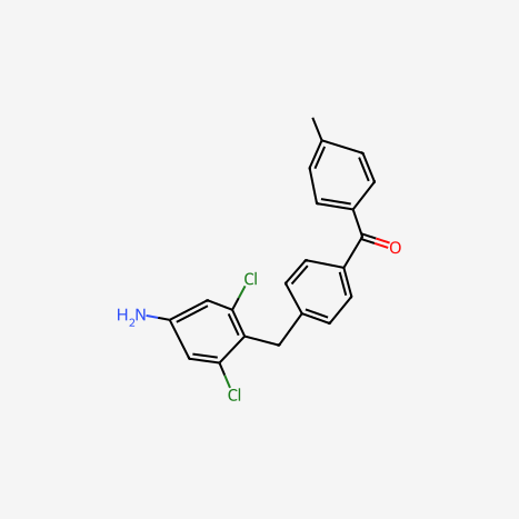 Cc1ccc(C(=O)c2ccc(Cc3c(Cl)cc(N)cc3Cl)cc2)cc1